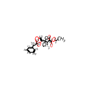 CCOC(=O)C(=O)CC(C)(C)C1=COC(Cc2ccccc2)O1